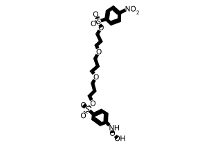 O=[N+]([O-])c1ccc(S(=O)(=O)OCCCOCCCOCCCOS(=O)(=O)c2ccc(NOO)cc2)cc1